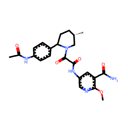 COc1ncc(NC(=O)C(=O)N2C[C@@H](C)CCC2c2ccc(NC(C)=O)cc2)cc1C(N)=O